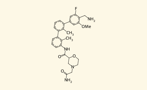 COc1cc(-c2cccc(-c3cccc(NC(=O)C4CN(CC(N)=O)CCO4)c3C)c2C)cc(F)c1CN